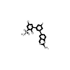 Nc1ncc2cc(-c3cc(F)cc(-c4cc(Cl)cc(S(N)(=O)=O)c4Cl)c3)ccc2n1